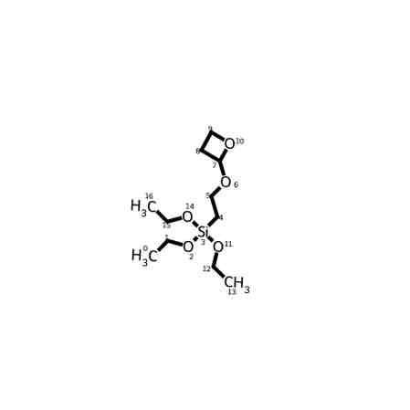 CCO[Si](CCOC1CCO1)(OCC)OCC